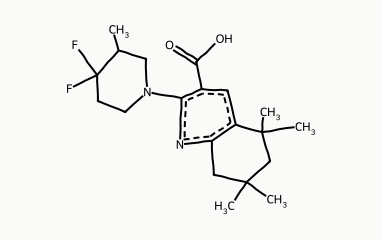 CC1CN(c2nc3c(cc2C(=O)O)C(C)(C)CC(C)(C)C3)CCC1(F)F